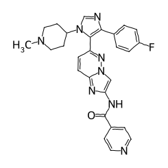 CN1CCC(n2cnc(-c3ccc(F)cc3)c2-c2ccc3nc(NC(=O)c4ccncc4)cn3n2)CC1